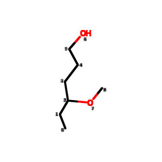 CCC(CCCO)OC